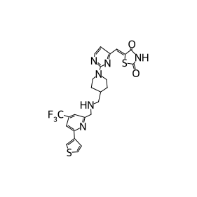 O=C1NC(=O)C(=Cc2ccnc(N3CCC(CNCc4cc(C(F)(F)F)cc(-c5ccsc5)n4)CC3)n2)S1